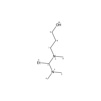 CCC(N(C)C)N(C)CCCO